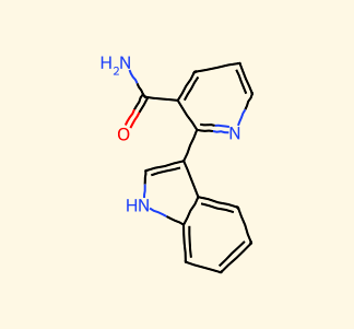 NC(=O)c1cccnc1-c1c[nH]c2ccccc12